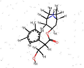 [2H]OC([2H])([2H])C([2H])(C(=O)O[C@]1([2H])C[C@@H]2N(C)C([2H])(C([2H])([2H])C2([2H])[2H])C1([2H])[2H])c1c([2H])c([2H])c([2H])c(C)c1[2H]